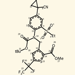 CCS(=O)(=O)c1cc(C2(C#N)CC2)cnc1N(Cc1cc(C(F)(F)C(F)(F)F)sc1C(=O)OC)C(=O)OC(C)(C)C